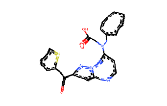 O=C(c1cc2nccc(N(C(=O)O)c3ccccc3)n2n1)c1cccs1